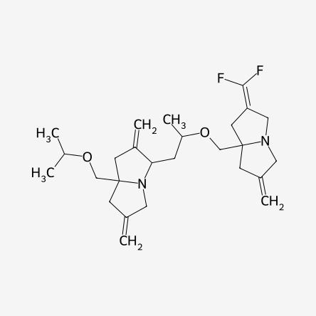 C=C1CN2CC(=C(F)F)CC2(COC(C)CC2C(=C)CC3(COC(C)C)CC(=C)CN23)C1